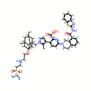 Cc1c(-c2ccc(N3CCc4cccc(C(=O)Nc5nc6ccccc6s5)c4C3)nc2C(=O)O)cnn1CC12CC3(C)CC(C)(C1)CC(OCCNCCS(=O)(=O)N(C)C)(C3)C2